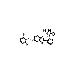 NC(=O)Oc1ccccc1-c1nc2ccc(OCc3c(F)cccc3F)cc2s1